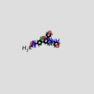 Cc1nc(-c2ccc(-c3cc4cnc(NC5CCOCC5)nc4n(C4CCOCC4)c3=O)c(Cl)c2)no1